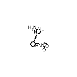 Cc1cc(C#Cc2ccccc2CNn2ccoc2=O)nc(N)n1